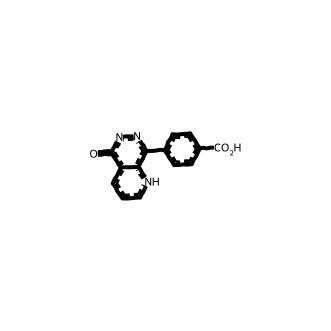 O=C(O)c1ccc(-c2nnc(=O)c3ccc[nH]c2-3)cc1